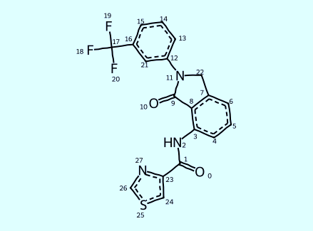 O=C(Nc1cccc2c1C(=O)N(c1cccc(C(F)(F)F)c1)C2)c1cscn1